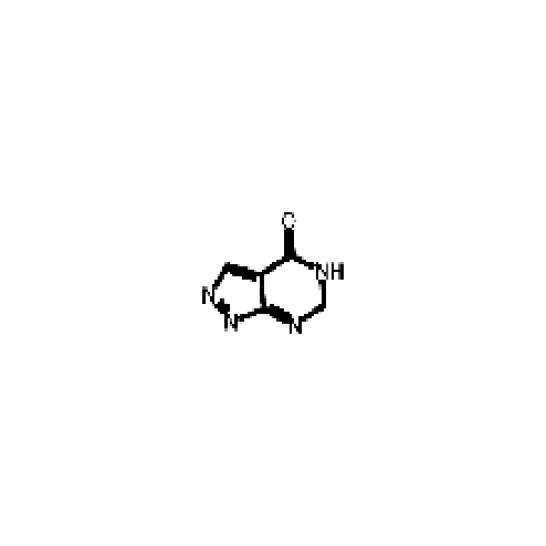 O=C1NCN=C2N=NC=C12